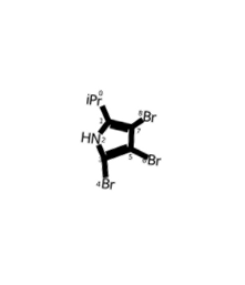 CC(C)c1[nH]c(Br)c(Br)c1Br